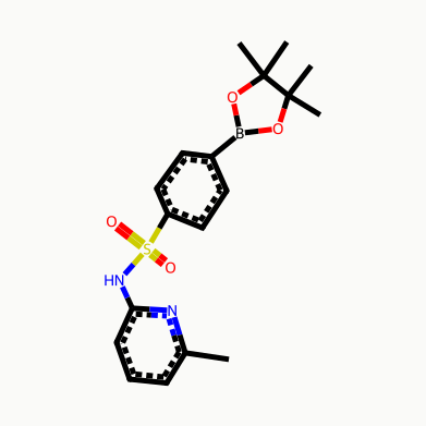 Cc1cccc(NS(=O)(=O)c2ccc(B3OC(C)(C)C(C)(C)O3)cc2)n1